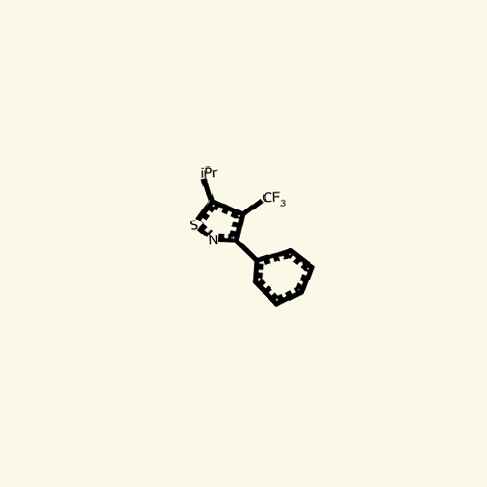 CC(C)c1snc(-c2ccccc2)c1C(F)(F)F